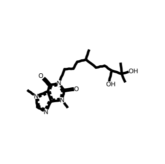 CC(CCCn1c(=O)c2c(ncn2C)n(C)c1=O)CCC(O)C(C)(C)O